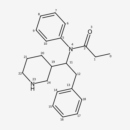 CCC(=O)N(c1ccccc1)C(Cc1ccccc1)C1CCCNC1